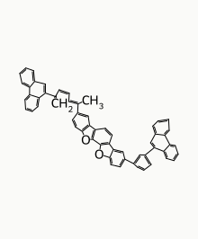 C=C(/C=C\C=C(/C)c1ccc2oc3c(ccc4c5cc(-c6cccc(-c7cc8ccccc8c8ccccc78)c6)ccc5oc43)c2c1)c1cc2ccccc2c2ccccc12